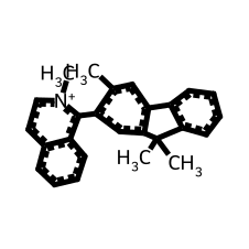 Cc1cc2c(cc1-c1c3ccccc3cc[n+]1C)C(C)(C)c1ccccc1-2